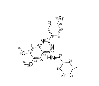 COc1cc2nc(-c3ccc(Br)cc3)nc(NCC3CCCCC3)c2cc1OC